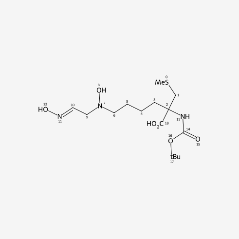 CSCC(CCCCN(O)CC=NO)(NC(=O)OC(C)(C)C)C(=O)O